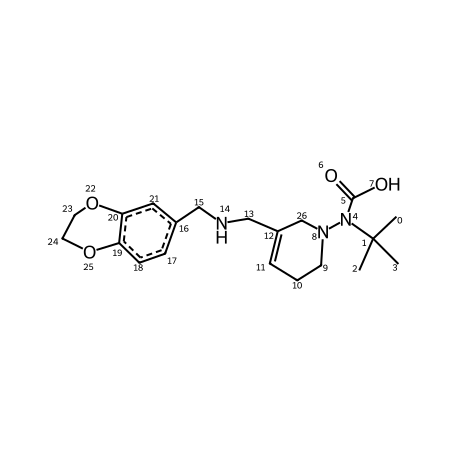 CC(C)(C)N(C(=O)O)N1CCC=C(CNCc2ccc3c(c2)OCCO3)C1